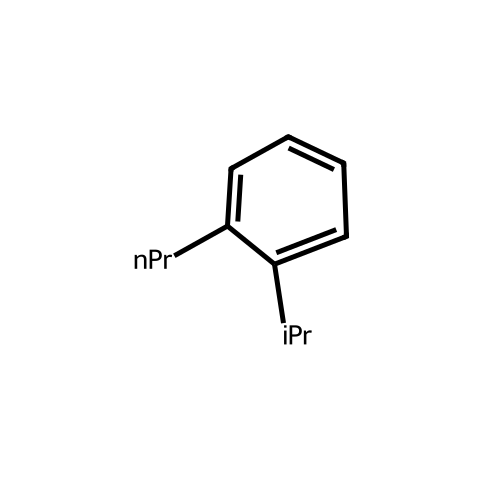 CCCc1ccccc1C(C)C